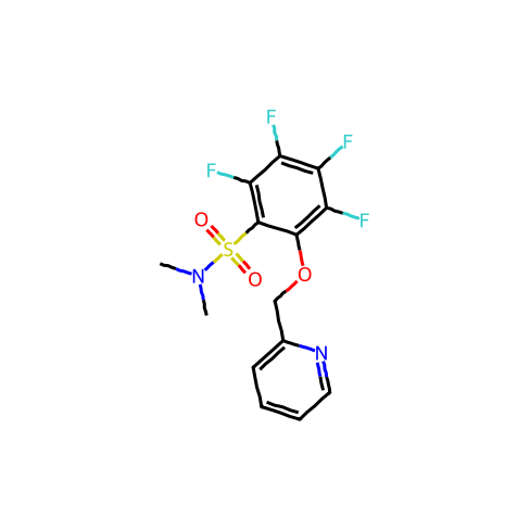 CN(C)S(=O)(=O)c1c(F)c(F)c(F)c(F)c1OCc1ccccn1